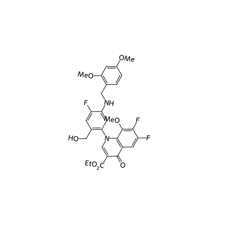 CCOC(=O)c1cn(-c2cc(NCc3ccc(OC)cc3OC)c(F)cc2CO)c2c(OC)c(F)c(F)cc2c1=O